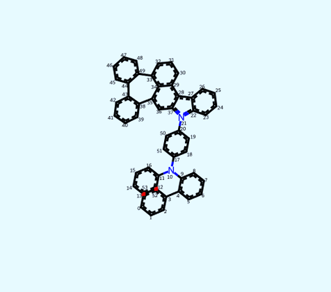 c1ccc(-c2ccccc2N(c2ccccc2)c2ccc(-n3c4ccccc4c4c5cccc6c5c(cc43)-c3ccccc3-c3ccccc3-6)cc2)cc1